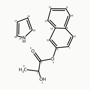 CC(O)C(=O)Oc1ccc2ccccc2c1.c1cc[nH]c1